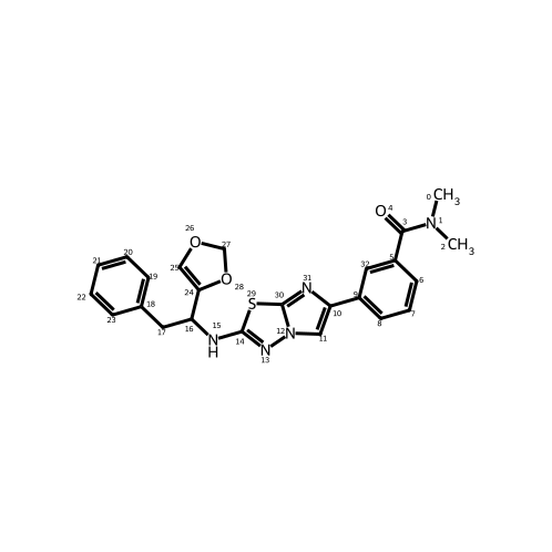 CN(C)C(=O)c1cccc(-c2cn3nc(NC(Cc4ccccc4)C4=COCO4)sc3n2)c1